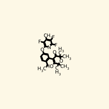 CCc1ccc(Oc2nc(F)c(F)c(C)c2F)cc1C1=C(O)C(C)(C)OC(C)(C)C1=O